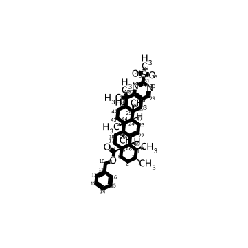 C[C@H]1[C@H](C)CC[C@]2(C(=O)OCc3ccccc3)CC[C@]3(C)C(=CC[C@@H]4[C@@]5(C)Cc6cnc(S(C)(=O)=O)nc6C(C)(C)[C@@H]5CC[C@]43C)[C@H]12